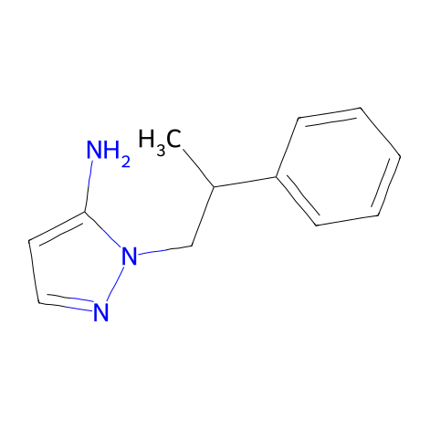 CC(Cn1nccc1N)c1ccccc1